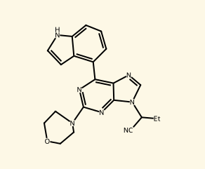 CCC(C#N)n1cnc2c(-c3cccc4[nH]ccc34)nc(N3CCOCC3)nc21